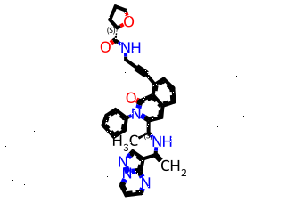 C=C(N[C@@H](C)c1cc2cccc(C#CCNC(=O)[C@@H]3CCCO3)c2c(=O)n1-c1ccccc1)c1cnn2cccnc12